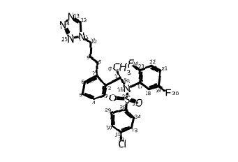 C[C@H](c1ccccc1CCCn1cnnn1)N(c1cc(F)ccc1F)S(=O)(=O)c1ccc(Cl)cc1